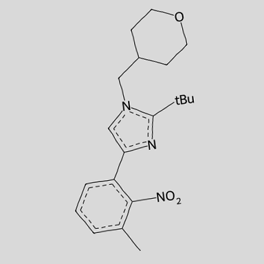 Cc1cccc(-c2cn(CC3CCOCC3)c(C(C)(C)C)n2)c1[N+](=O)[O-]